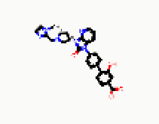 Cn1ccnc1CN1CC[C@H](n2c(=O)n(-c3ccc(-c4ccc(C(=O)O)cc4O)cc3)c3cccnc32)C1